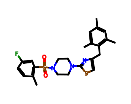 Cc1cc(C)c(Cc2csc(N3CCN(S(=O)(=O)c4cc(F)ccc4C)CC3)n2)c(C)c1